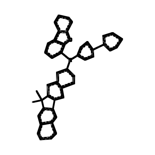 CC1(C)c2cc3ccccc3cc2-c2cc3ccc(N(c4ccc(-c5ccccc5)cc4)c4cccc5c4oc4ccccc45)cc3cc21